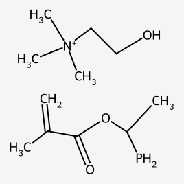 C=C(C)C(=O)OC(C)P.C[N+](C)(C)CCO